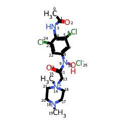 CC(=O)Nc1c(Cl)cc(N(O)C(=O)C[N+]2(C)CCN(C)CC2)cc1Cl.[Cl-]